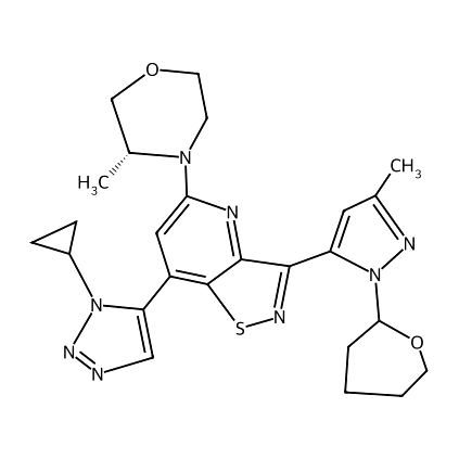 Cc1cc(-c2nsc3c(-c4cnnn4C4CC4)cc(N4CCOC[C@H]4C)nc23)n(C2CCCCO2)n1